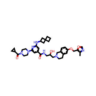 Cc1ncoc1COc1ccc2c(c1)CCN(CC(O)CNC(=O)c1cc(NC3CC4(CCC4)C3)nc(N3CCN(C(=O)C4CC4)CC3)c1)C2